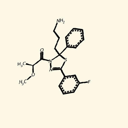 CO[C@@H](C)C(=O)N1N=C(c2cccc(F)c2)SC1(CCCN)c1ccccc1